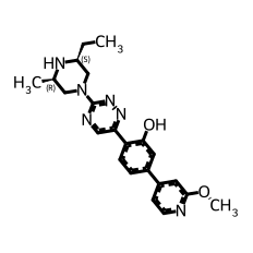 CC[C@H]1CN(c2ncc(-c3ccc(-c4ccnc(OC)c4)cc3O)nn2)C[C@@H](C)N1